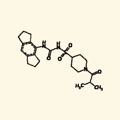 CC(C)C(=O)N1CCC(S(=O)(=O)NC(=O)Nc2c3c(cc4c2CCC4)CCC3)CC1